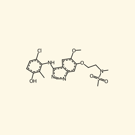 COc1cc2c(Nc3c(Cl)ccc(O)c3C)ncnc2cc1OCCN(C)S(C)(=O)=O